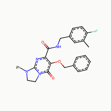 Cc1cc(CNC(=O)c2nc3n(c(=O)c2OCc2ccccc2)CCN3C(C)C)ccc1F